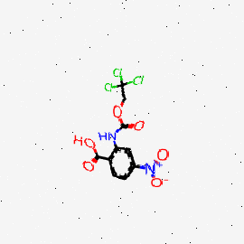 O=C(Nc1cc([N+](=O)[O-])ccc1C(=O)O)OCC(Cl)(Cl)Cl